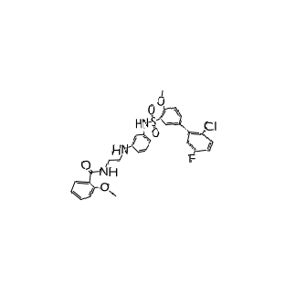 COc1ccccc1C(=O)NCCNc1cccc(NS(=O)(=O)c2cc(-c3cc(F)ccc3Cl)ccc2OC)c1